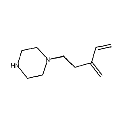 C=CC(=C)CCN1CCNCC1